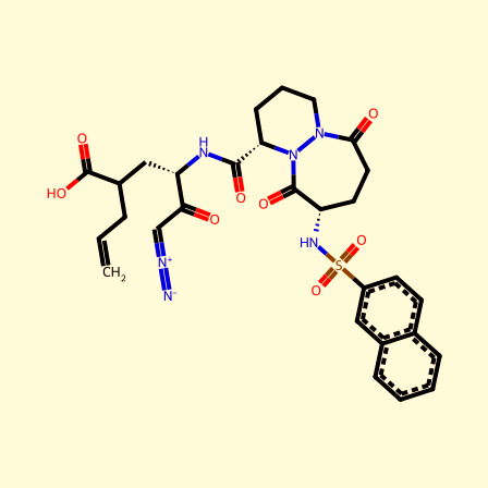 C=CCC(C[C@H](NC(=O)[C@@H]1CCCN2C(=O)CC[C@H](NS(=O)(=O)c3ccc4ccccc4c3)C(=O)N12)C(=O)C=[N+]=[N-])C(=O)O